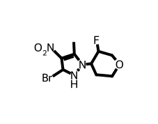 CC1=C([N+](=O)[O-])C(Br)NN1C1CCOCC1F